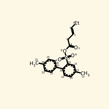 CC/C=C/CC(=O)OS(=O)(=O)c1cc(C)ccc1-c1ccc(C)cc1